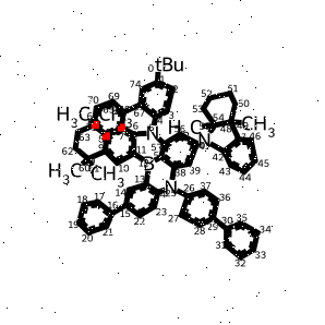 CC(C)(C)c1ccc(N2c3cc4c(cc3B3c5cc(-c6ccccc6)ccc5N(c5ccc(-c6ccccc6)cc5)c5cc(N6c7ccccc7C7(C)CCCCC67C)cc2c53)C(C)(C)CCC4(C)C)c(-c2ccccc2)c1